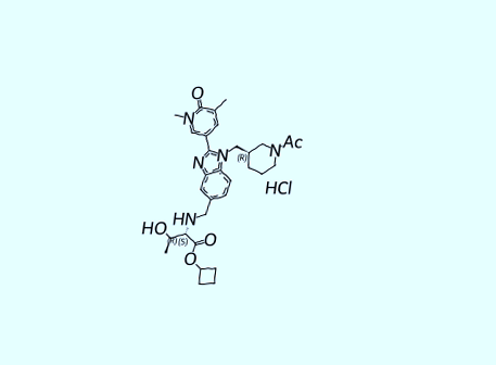 CC(=O)N1CCC[C@@H](Cn2c(-c3cc(C)c(=O)n(C)c3)nc3cc(CN[C@H](C(=O)OC4CCC4)[C@@H](C)O)ccc32)C1.Cl